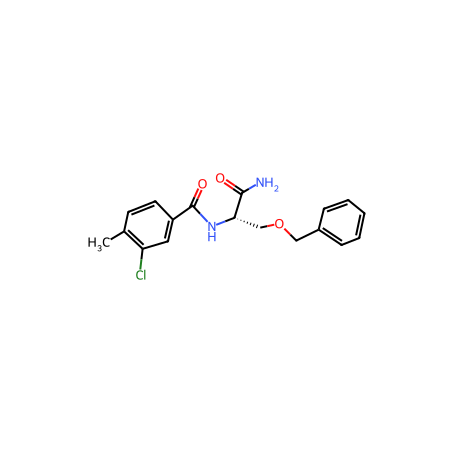 Cc1ccc(C(=O)N[C@@H](COCc2ccccc2)C(N)=O)cc1Cl